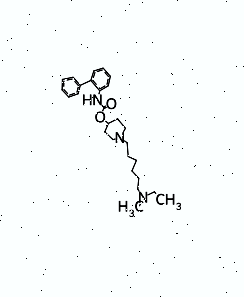 CCN(C)CCCCCCN1CCC(OC(=O)Nc2ccccc2-c2ccccc2)CC1